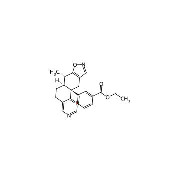 CCOC(=O)c1cccc([C@]23Cc4cnoc4[C@@H](C)[C@@H]2CCc2cncnc23)c1